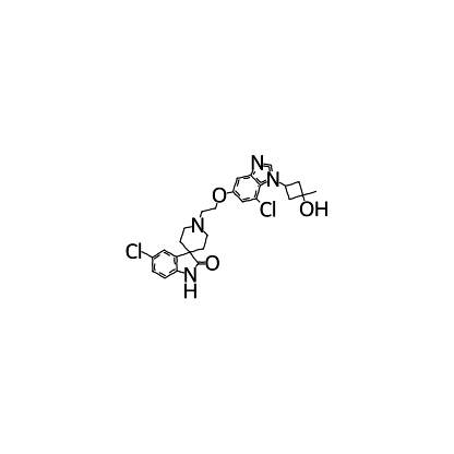 CC1(O)CC(n2cnc3cc(OCCN4CCC5(CC4)C(=O)Nc4ccc(Cl)cc45)cc(Cl)c32)C1